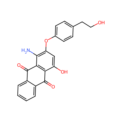 Nc1c(Oc2ccc(CCO)cc2)cc(O)c2c1C(=O)c1ccccc1C2=O